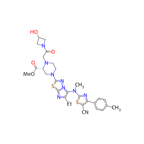 CCc1nc2sc(N3CCN(CC(=O)N4CC(O)C4)[C@@H](C(=O)OC)C3)nn2c1N(C)c1nc(-c2ccc(C)cc2)c(C#N)s1